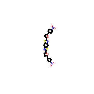 O=[N+]([O-])c1ccc(-c2ccc(-c3nc4cc5sc(-c6ccc(-c7ccc([N+](=O)[O-])cc7)o6)nc5cc4s3)o2)cc1